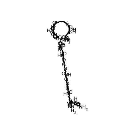 CO[C@H]1C[C@@H]2CC[C@@H](C)[C@@](O)(O2)C(=O)C(=O)N2CCCC[C@H]2C(=O)O[C@H]([C@H](N)C[C@@H]2CC[C@H](n3cc(COC(=O)NCCOCCOCCOCCC(=O)NCCOCCOCCOCCC(=O)NCCCCn4nc(-c5cc6cc(N)ccc6[nH]5)c5c(N)ncnc54)nn3)[C@H](OC)C2)C/C(=N/OC(C)(C)C)[C@H](C)/C=C(\C)[C@@H](O)[C@@H](O)C(=O)[C@H](C)C[C@H](C)/C=C/C=C/C=C/1C